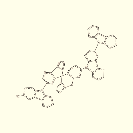 N#Cc1ccc2c(c1)c1ccccc1n2-c1cnc2c(c1)C1(c3ccccc3Oc3cc(-n4c5ccccc5c5cc(-n6c7ccccc7c7ccccc76)ccc54)ccc31)c1cccnc1-2